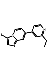 CCc1cc(-c2ccn3c(I)cnc3c2)ccn1